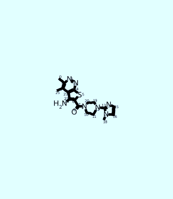 Cc1nnc2sc(C(=O)N3CCN(c4nccn4C)CC3)c(N)c2c1C